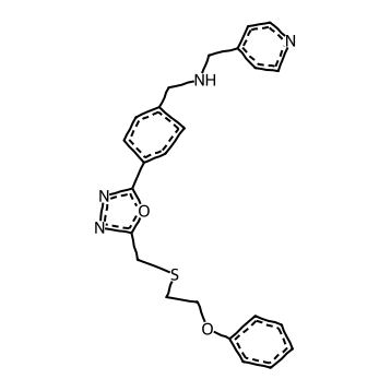 c1ccc(OCCSCc2nnc(-c3ccc(CNCc4ccncc4)cc3)o2)cc1